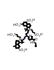 C#CCNC(=O)c1ccc(C(=C\C=C2\N(CCCS(=O)(=O)O)c3ccc4c(S(=O)(=O)O)cc(S(=O)(=O)O)cc4c3C2(C)C)/C=C/C2=[N+](CCCS(=O)(=O)O)c3ccc4c(C)cc(S(=O)(=O)O)cc4c3C2(C)C)nc1